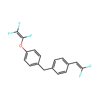 FC(F)=Cc1ccc(Cc2ccc(OC(F)=C(F)F)cc2)cc1